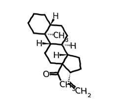 C=C[C@H]1CC[C@H]2[C@@H]3CC[C@H]4CCCC[C@]4(C)[C@H]3CCC12C(C)=O